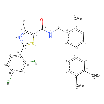 COc1ccc(-c2ccc(OC)c(CNC(=O)c3sc(-c4ccc(Cl)cc4Cl)nc3C)c2)cc1C=O